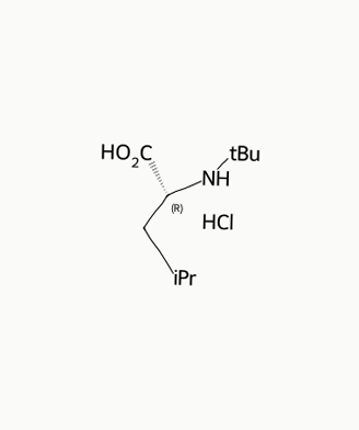 CC(C)C[C@@H](NC(C)(C)C)C(=O)O.Cl